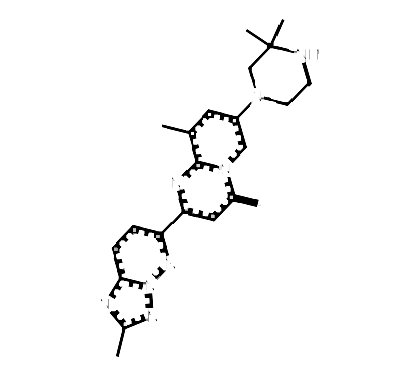 Cc1nc2ccc(-c3cc(=O)n4cc(N5CCNC(C)(C)C5)cc(C)c4n3)nn2n1